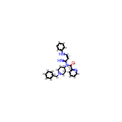 N=C(/C=C\Nc1ccccc1)N(C(=O)c1ccccn1)C1CCN(Cc2ccccc2)CC1